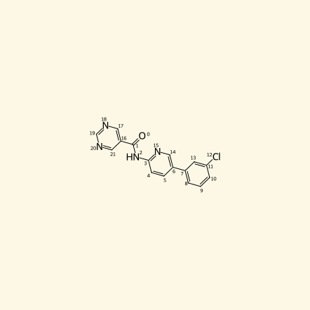 O=C(Nc1ccc(-c2cccc(Cl)c2)cn1)c1cncnc1